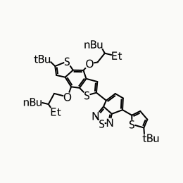 CCCCC(CC)COc1c2cc(C(C)(C)C)sc2c(OCC(CC)CCCC)c2cc(-c3ccc(-c4ccc(C(C)(C)C)s4)c4nsnc34)sc12